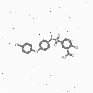 O=C(O)c1cc(S(=O)(=O)Nc2ccc(Oc3ccc(Cl)cc3)cc2)ccc1Cl